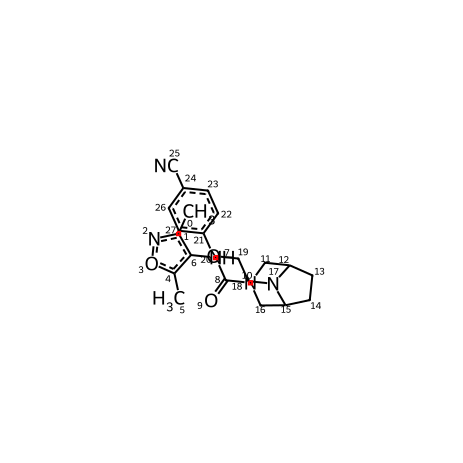 Cc1noc(C)c1NC(=O)N1CC2CCC(C1)N2CCOc1ccc(C#N)cc1